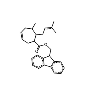 CC(C)=CCC1C(C)CC=CCC1C(=O)OCC1c2ccccc2-c2ccccc21